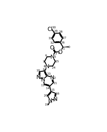 C[C@@H](OC(=O)N1CCN(c2cnn3cc(-c4cnn(C)c4)cnc23)CC1)c1ccc(Cl)cc1